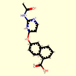 CC(=O)Nc1nccc(Oc2ccc3c(C(=O)O)cccc3c2)n1